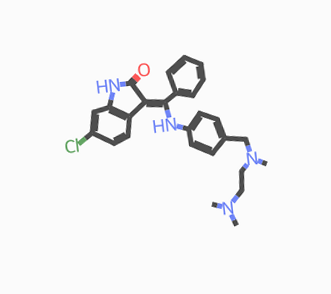 CN(C)CCN(C)Cc1ccc(NC(=C2C(=O)Nc3cc(Cl)ccc32)c2ccccc2)cc1